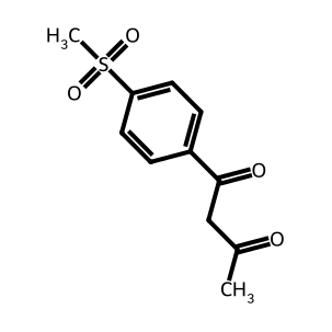 CC(=O)CC(=O)c1ccc(S(C)(=O)=O)cc1